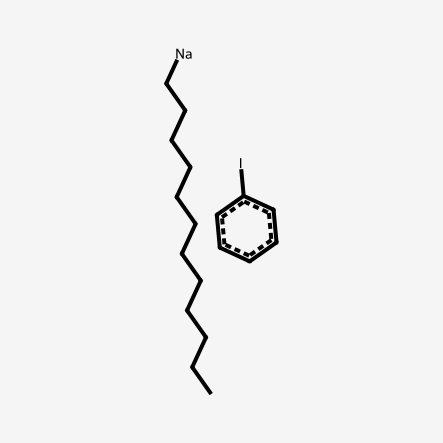 CCCCCCCCCCC[CH2][Na].Ic1ccccc1